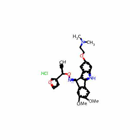 C#CC(O/N=C1/c2cc(OC)c(OC)cc2-c2[nH]c3ccc(OCCN(C)C)cc3c21)c1ccoc1.Cl